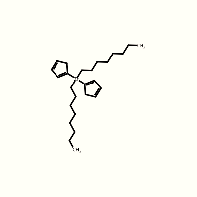 CCCCCCC[CH2][Zr]([CH2]CCCCCCC)([C]1=CC=CC1)[C]1=CC=CC1